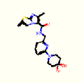 Cc1cn2c(C(=O)NCc3cccc(N4CCC(O)(O)CC4)n3)c(C)nc2s1